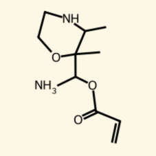 C=CC(=O)OC(C)C1(C)OCCNC1C.N